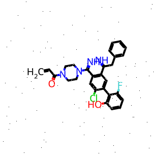 C=CC(=O)N1CCN(C(=N)c2cc(Cl)c(-c3c(O)cccc3F)cc2C(=N)Cc2ccccc2)CC1